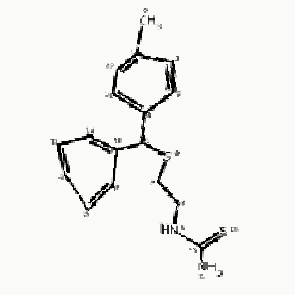 Cc1ccc(C(SCCNC(N)=S)c2ccccc2)cc1